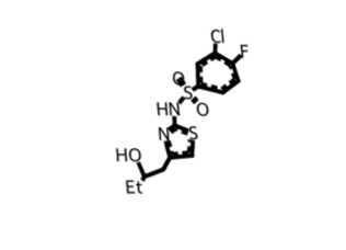 CCC(O)Cc1csc(NS(=O)(=O)c2ccc(F)c(Cl)c2)n1